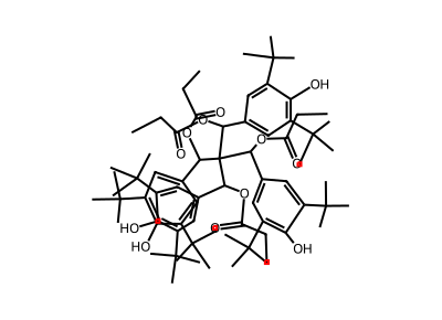 CCC(=O)OC(c1cc(C(C)(C)C)c(O)c(C(C)(C)C)c1)C(C(OC(=O)CC)c1cc(C(C)(C)C)c(O)c(C(C)(C)C)c1)(C(OC(=O)CC)c1cc(C(C)(C)C)c(O)c(C(C)(C)C)c1)C(OC(=O)CC)c1cc(C(C)(C)C)c(O)c(C(C)(C)C)c1